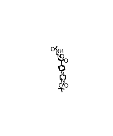 CC(=O)NCn1cc(-c2ccc(N3CCN(C(=O)OC(C)(C)C)CC3)cc2)c(=O)o1